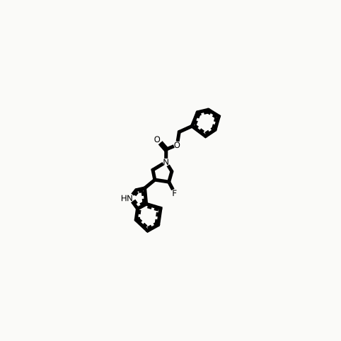 O=C(OCc1ccccc1)N1CC(F)C(c2c[nH]c3ccccc23)C1